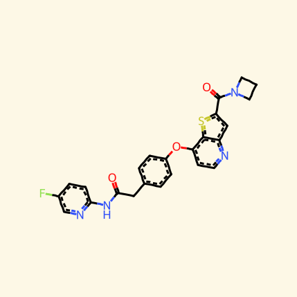 O=C(Cc1ccc(Oc2ccnc3cc(C(=O)N4CCC4)sc23)cc1)Nc1ccc(F)cn1